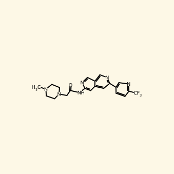 CN1CCN(CC(=O)Nc2cc3cc(-c4ccc(C(F)(F)F)nc4)ncc3cn2)CC1